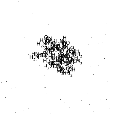 CC(=O)NC(CCCNC(=N)N)C(=O)NCC(=O)N1C[C@@H](COP(=O)(N(C)C)N2C[C@@H](COP(=O)(N(C)C)N3C[C@@H](COP(=O)(N(C)C)N4C[C@@H](COP(=O)(N(C)C)N5C[C@@H](COP(=O)(C(C)C)N(C)C)O[C@@H](n6ccc(N)nc6=O)C5)O[C@@H](C5C=C(C)C(=O)NC5=O)C4)O[C@@H](n4cnc5c(=O)[nH]c(N)nc54)C3)O[C@@H](n3cnc4c(=O)[nH]c(N)nc43)C2)O[C@@H](n2cnc3c(=O)[nH]c(N)nc32)C1